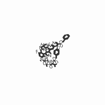 CC(OC(=O)C(NC(=O)OCc1ccccc1)C(C)C)OC(=O)N(C)c1cc(F)c(C#N)c2c1[nH]c1ncc(-c3cnc4c(c3)c(=O)c(C(=O)OCc3ccccc3)cn4C)c(N3CC[C@H]4CN(C)C[C@H]43)c12